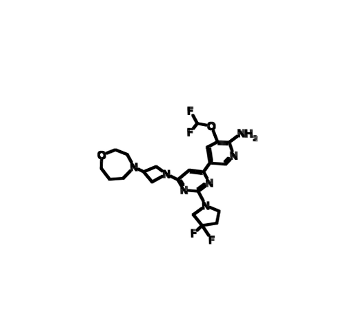 Nc1ncc(-c2cc(N3CC(N4CCCOCC4)C3)nc(N3CCC(F)(F)C3)n2)cc1OC(F)F